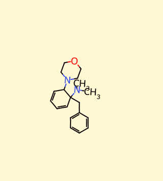 CN(C)C1(Cc2ccccc2)C=CC=CC1N1CCOCC1